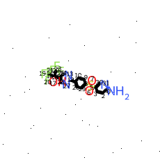 Nc1ccc(S(=O)(=O)c2ccc(-c3ncc(C(O)(C(F)(F)F)C(F)(F)F)cn3)cc2)cn1